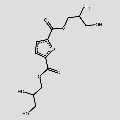 CC(CO)COC(=O)c1ccc(C(=O)OCC(O)CO)o1